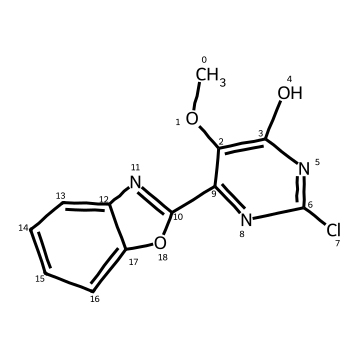 COc1c(O)nc(Cl)nc1-c1nc2ccccc2o1